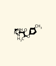 Cc1ccc(OC(C)C(=O)c2nnc[nH]2)cc1